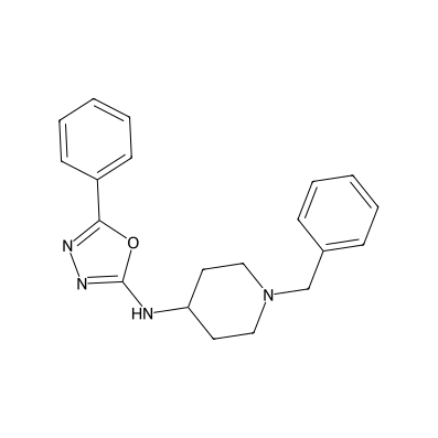 c1ccc(CN2CCC(Nc3nnc(-c4ccccc4)o3)CC2)cc1